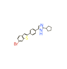 Brc1ccc2cc(-c3ccc(-c4cnc(C5CCCC5)[nH]4)cc3)sc2c1